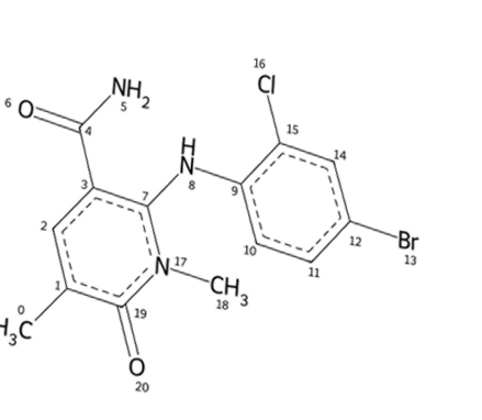 Cc1cc(C(N)=O)c(Nc2ccc(Br)cc2Cl)n(C)c1=O